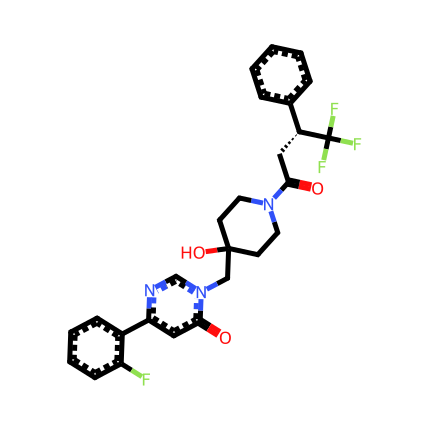 O=C(C[C@H](c1ccccc1)C(F)(F)F)N1CCC(O)(Cn2cnc(-c3ccccc3F)cc2=O)CC1